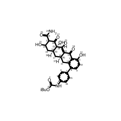 CC(C)COC(=O)Nc1ccc(-c2ccc(O)c3c2C[C@H]2C[C@H]4CC(O)C(C(N)=O)C(=O)[C@@]4(O)C(O)=C2C3=O)cc1